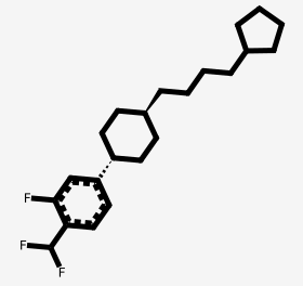 Fc1cc([C@H]2CC[C@H](CCCCC3CCCC3)CC2)ccc1C(F)F